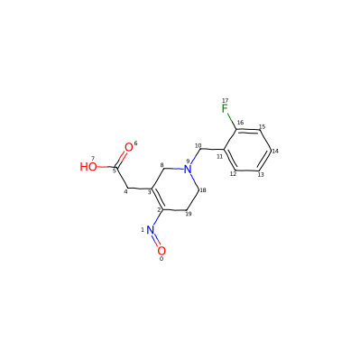 O=NC1=C(CC(=O)O)CN(Cc2ccccc2F)CC1